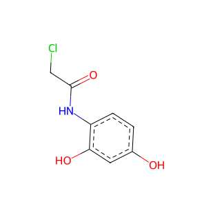 O=C(CCl)Nc1ccc(O)cc1O